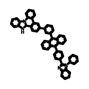 c1ccc(-n2c(-c3ccc(-c4c5ccccc5c(-c5cccc(-c6ccc7c(c6)-c6ccccc6N6c8ccccc8NC76)c5)c5ccccc45)cc3)nc3ccccc32)cc1